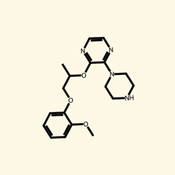 COc1ccccc1OCC(C)Oc1nccnc1N1CCNCC1